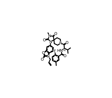 C=CCn1c(=O)oc2cc(N3C(=O)N(C)C(=O)C34CCN(C(=O)[C@H](NC(=O)c3cc(C)ccc3F)C(C)C)CC4)ccc21